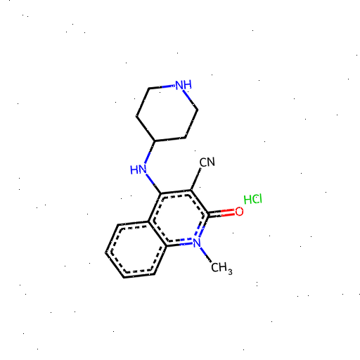 Cl.Cn1c(=O)c(C#N)c(NC2CCNCC2)c2ccccc21